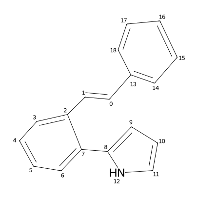 C(=Cc1ccccc1-c1ccc[nH]1)c1ccccc1